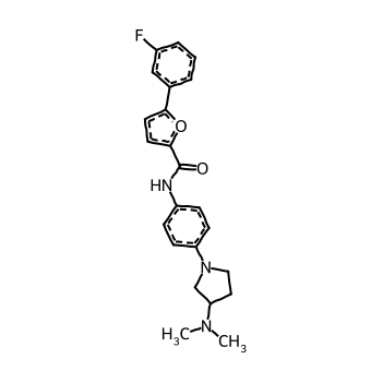 CN(C)C1CCN(c2ccc(NC(=O)c3ccc(-c4cccc(F)c4)o3)cc2)C1